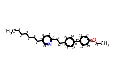 CCCCCCCc1ccc(CCc2ccc(-c3ccc(OCC)cc3)cc2)nc1